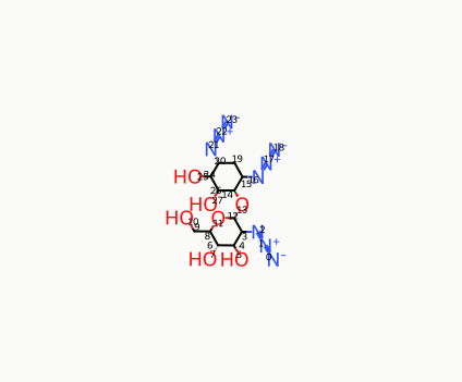 [N-]=[N+]=NC1C(O)[C@H](O)C(CO)O[C@@H]1O[C@@H]1C(N=[N+]=[N-])C[C@@H](N=[N+]=[N-])C(O)C1O